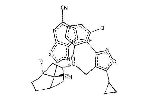 N#Cc1cc(F)c2nc([C@]3(O)C4CC[C@H]3C[C@H](OCc3c(-c5c(Cl)cccc5Cl)noc3C3CC3)C4)sc2c1